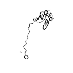 O=[C]CCCCCCC/C=C\CCCC([N+](=O)[O-])([N+](=O)[O-])[N+](=O)[O-]